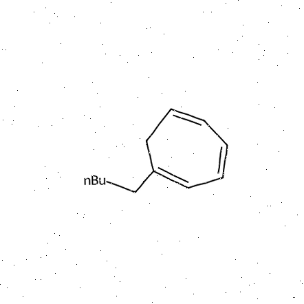 CCCCCC1=CC=CC=CC1